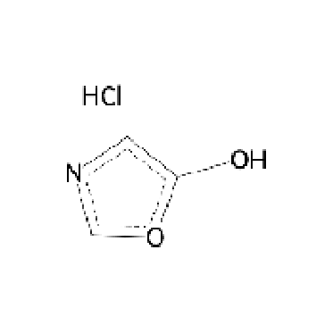 Cl.Oc1cnco1